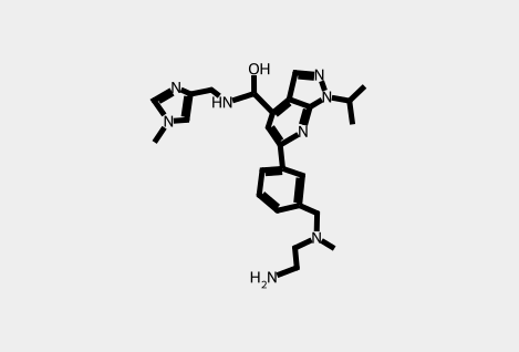 CC(C)n1ncc2c(C(O)NCc3cn(C)cn3)cc(-c3cccc(CN(C)CCN)c3)nc21